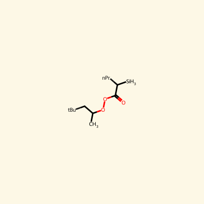 CCCC([SiH3])C(=O)OOC(C)CC(C)(C)C